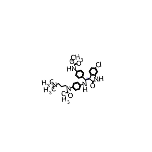 COC(=O)Nc1ccc(/C(Nc2ccc(N(CCCN(C)C)C(C)=O)cc2)=C2/C(=O)Nc3cc(Cl)ccc32)cc1